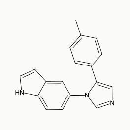 Cc1ccc(-c2cncn2-c2ccc3[nH]ccc3c2)cc1